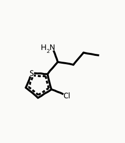 CCCC(N)c1sccc1Cl